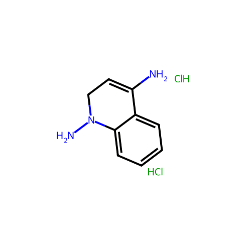 Cl.Cl.NC1=CCN(N)c2ccccc21